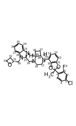 C[C@]1(c2ccc(Cl)cc2F)Oc2cccc(N3CCN(Cc4nc5ccccc5n4C[C@@H]4CCO4)[C@@H]4CC[C@H]43)c2O1